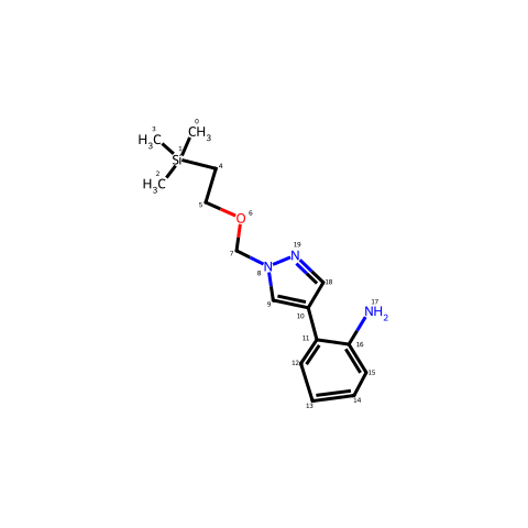 C[Si](C)(C)CCOCn1cc(-c2ccccc2N)cn1